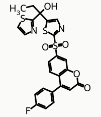 CCC(O)(c1cnc(S(=O)(=O)c2ccc3c(-c4ccc(F)cc4)cc(=O)oc3c2)s1)c1nccs1